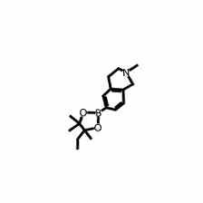 CCC1(C)OB(c2ccc3c(c2)CCN(C)C3)OC1(C)C